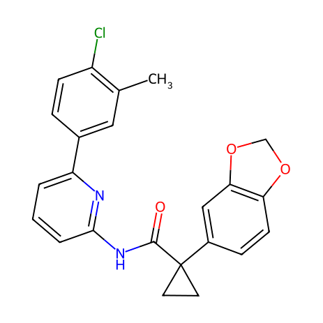 Cc1cc(-c2cccc(NC(=O)C3(c4ccc5c(c4)OCO5)CC3)n2)ccc1Cl